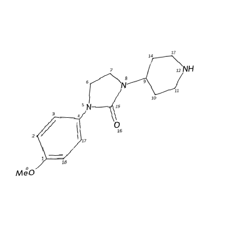 COc1ccc(N2CCN(C3CCNCC3)C2=O)cc1